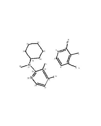 Cc1c(I)ccnc1F.Cc1c(I)ccnc1N(C)C1CCCCC1